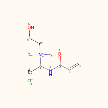 C=CC(=O)NC(CC)[N+](C)(C)CCO.[Cl-]